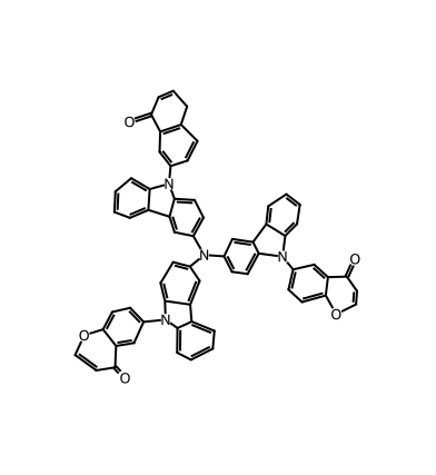 O=C1C=CCc2ccc(-n3c4ccccc4c4cc(N(c5ccc6c(c5)c5ccccc5n6-c5ccc6occc(=O)c6c5)c5ccc6c(c5)c5ccccc5n6-c5ccc6occc(=O)c6c5)ccc43)cc21